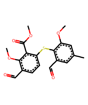 COC(=O)c1c(Sc2c(C=O)cc(C)cc2OC)ccc(C=O)c1OC